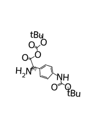 CC(C)(C)OC(=O)Nc1ccc([C@@H](N)C(=O)OC(=O)OC(C)(C)C)cc1